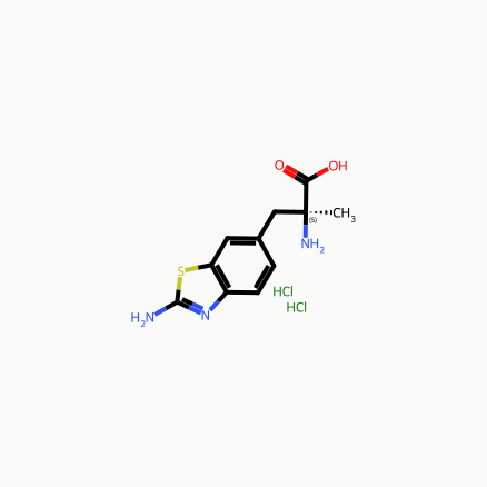 C[C@](N)(Cc1ccc2nc(N)sc2c1)C(=O)O.Cl.Cl